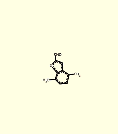 Cc1ccc(C)c2oc(C=O)cc12